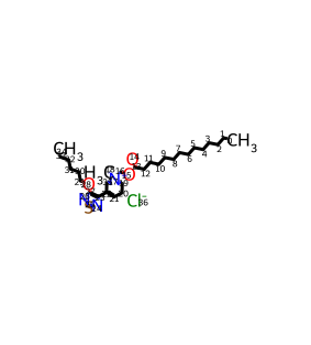 CCCCCCCCCCCCCC(=O)OC[N+]1(C)CCC=C(c2nsnc2OCCCCCC)C1.[Cl-]